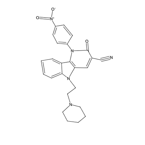 N#Cc1cc2c(c3ccccc3n2CCN2CCCCC2)n(-c2ccc([N+](=O)[O-])cc2)c1=O